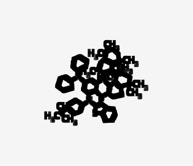 Cc1cc2c(cc1N1c3cc(N(c4ccccc4)c4ccccc4)cc4c3B(c3ccc5c(c31)C(C)(C)CCC5(C)C)c1c(sc3ccccc13)N4c1ccc(C(C)(C)C)cc1)C(C)(C)CCC2(C)C